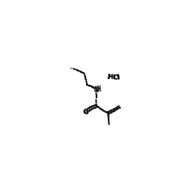 Cl.[CH2]CCNC(=O)C(=C)C